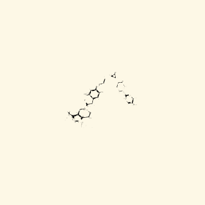 Cn1nc(C(F)(F)F)c2c1CCN(C(=O)Cc1ccc(OCC[C@@H]3C[C@@H]3C3CCN(c4ncc(Cl)cn4)CC3)cc1F)C2